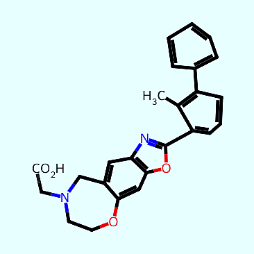 Cc1c(-c2ccccc2)cccc1-c1nc2cc3c(cc2o1)OCCN(CC(=O)O)C3